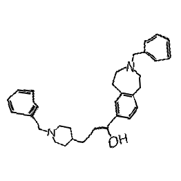 OC(CCC1CCN(Cc2ccccc2)CC1)c1ccc2c(c1)CCN(Cc1ccccc1)CC2